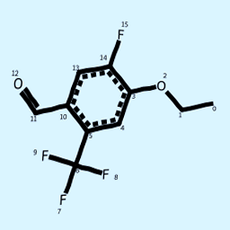 CCOc1cc(C(F)(F)F)c(C=O)cc1F